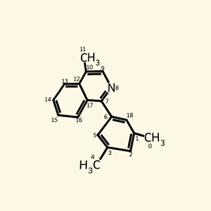 Cc1cc(C)cc(-c2ncc(C)c3ccccc23)c1